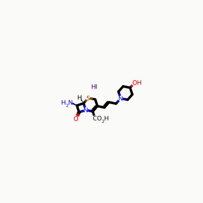 I.N[C@@H]1C(=O)N2C(C(=O)O)=C(/C=C/CN3CCC(O)CC3)CS[C@H]12